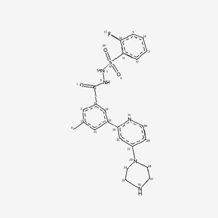 Cc1cc(C(=O)NNS(=O)(=O)c2ccccc2F)cc(-c2cc(N3CCNCC3)ccn2)c1